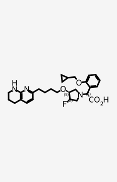 O=C(O)[C@@H](c1ccccc1OCC1CC1)N1C[C@@H](F)[C@@H](OCCCCc2ccc3c(n2)NCCC3)C1